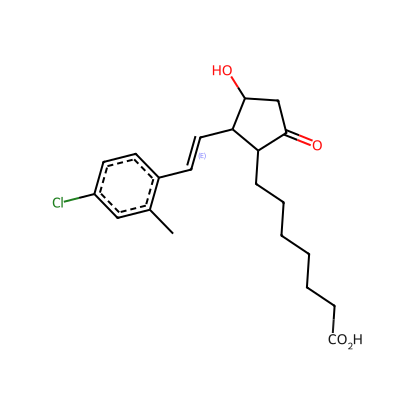 Cc1cc(Cl)ccc1/C=C/C1C(O)CC(=O)C1CCCCCCC(=O)O